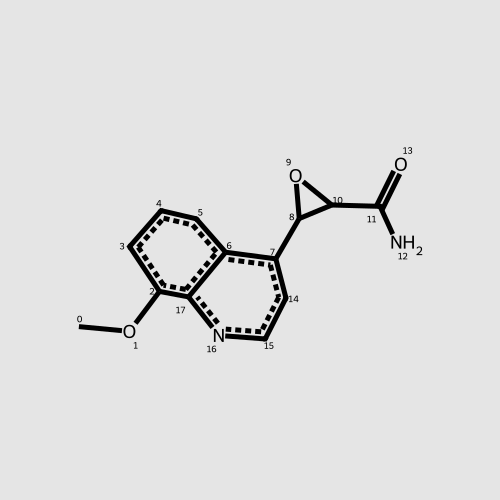 COc1cccc2c(C3OC3C(N)=O)ccnc12